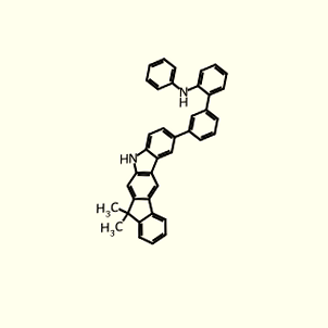 CC1(C)c2ccccc2-c2cc3c(cc21)[nH]c1ccc(-c2cccc(-c4ccccc4Nc4ccccc4)c2)cc13